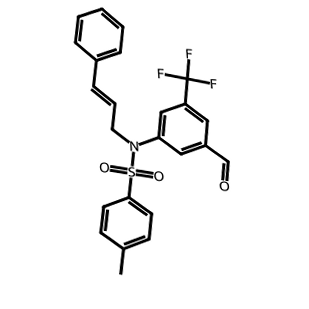 Cc1ccc(S(=O)(=O)N(CC=Cc2ccccc2)c2cc(C=O)cc(C(F)(F)F)c2)cc1